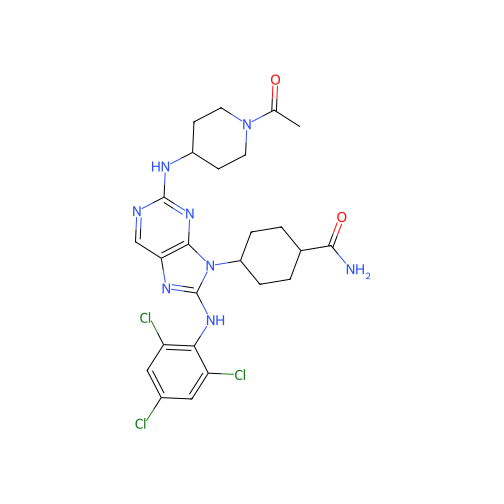 CC(=O)N1CCC(Nc2ncc3nc(Nc4c(Cl)cc(Cl)cc4Cl)n(C4CCC(C(N)=O)CC4)c3n2)CC1